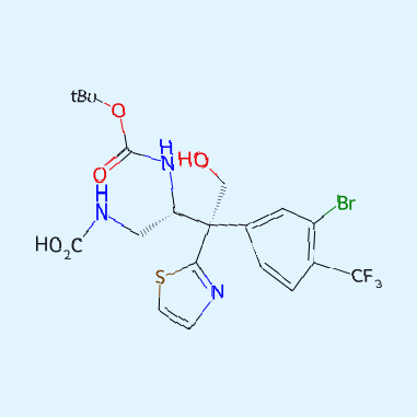 CC(C)(C)OC(=O)N[C@@H](CNC(=O)O)[C@@](CO)(c1ccc(C(F)(F)F)c(Br)c1)c1nccs1